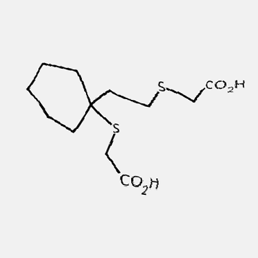 O=C(O)CSCCC1(SCC(=O)O)CCCCC1